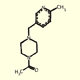 CC(=O)N1CCN(Cc2ccc(C)nc2)CC1